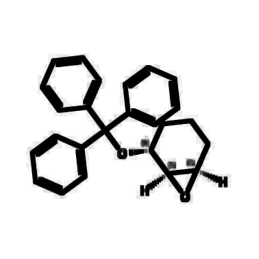 c1ccc(C(O[C@@H]2CCC[C@H]3O[C@H]32)(c2ccccc2)c2ccccc2)cc1